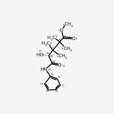 COC(=O)C(C)(C)C(C)(C)[C@@H](O)C(=O)Nc1ccccc1